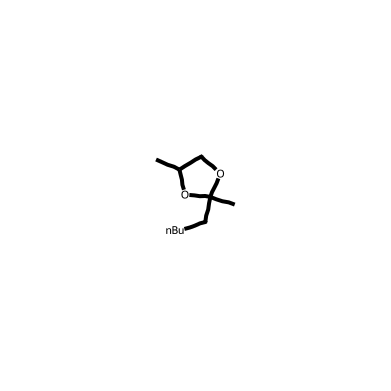 CCCCCC1(C)OCC(C)O1